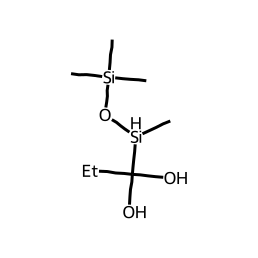 CCC(O)(O)[SiH](C)O[Si](C)(C)C